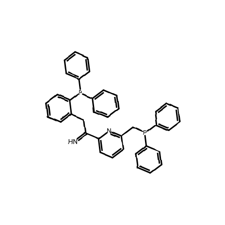 N=C(Cc1ccccc1P(c1ccccc1)c1ccccc1)c1cccc(CP(c2ccccc2)c2ccccc2)n1